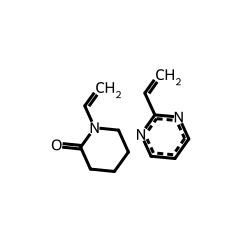 C=CN1CCCCC1=O.C=Cc1ncccn1